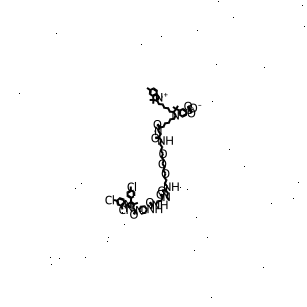 Cc1ccc2c(c1)C(C)(C)C(CCCCCC1N(CCCCCC(=O)N(C)CC(=O)NCCCOCCOCCOCCCNC(=O)CN(C)C(=O)CCNC(=O)NC3CCN(C(=O)c4nn(-c5ccc(Cl)cc5Cl)c(-c5ccc(Cl)cc5)c4C)CC3)c3ccc(S(=O)(=O)[O-])cc3C1(C)C)=[N+]2C